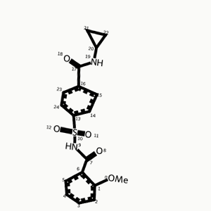 COc1ccccc1C(=O)NS(=O)(=O)c1ccc(C(=O)NC2CC2)cc1